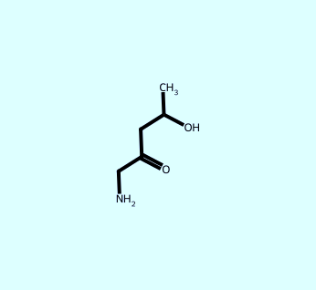 CC(O)CC(=O)CN